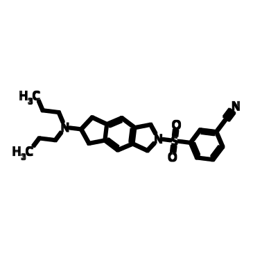 CCCN(CCC)C1Cc2cc3c(cc2C1)CN(S(=O)(=O)c1cccc(C#N)c1)C3